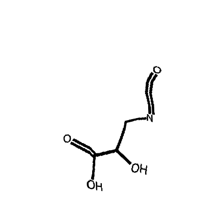 O=C=NCC(O)C(=O)O